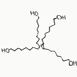 OCCCCCCC[CH2][Hf]([CH2]CCCCCCCO)([CH2]CCCCCCCO)[CH2]CCCCCCCO